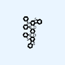 c1ccc(N2c3ccccc3B3c4cc5c(cc4Oc4c3c2cc2sc3ccccc3c42)Oc2cc3sc4ccccc4c3c3c2B5c2ccccc2S3)cc1